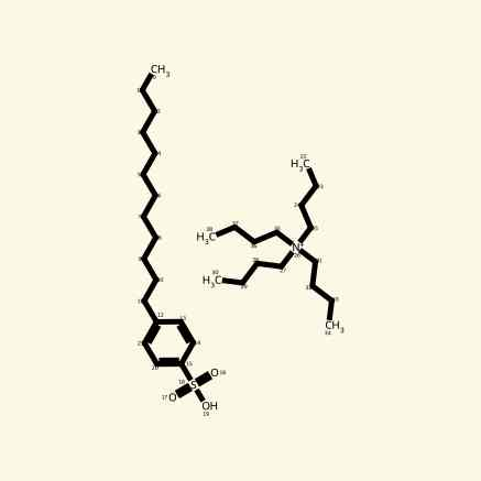 CCCCCCCCCCCCc1ccc(S(=O)(=O)O)cc1.CCCC[N+](CCCC)(CCCC)CCCC